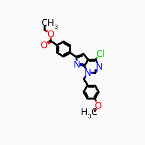 CCOC(=O)c1ccc(-c2cc3c(Cl)ncn(Cc4ccc(OC)cc4)c-3n2)cc1